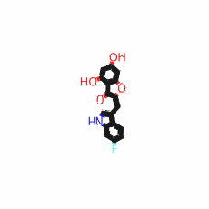 O=C1/C(=C\c2c[nH]c3cc(F)ccc23)Oc2cc(O)cc(O)c21